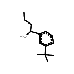 CCCC(O)c1cccc(C(C)(C)C)c1